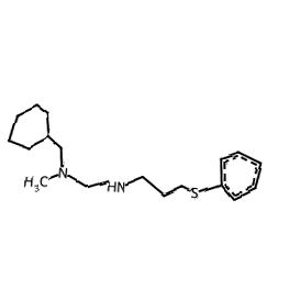 CN(CCNCCCSc1ccccc1)CC1CCCCC1